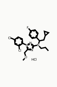 CCCN(c1nc(COC)n(-c2ccc(Cl)cc2Cl)n1)C(CC1CC1)c1ccc(F)cc1.Cl